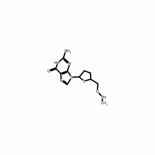 CPOCC1CCC(n2cnc3c(=O)[nH]c(N)nc32)S1